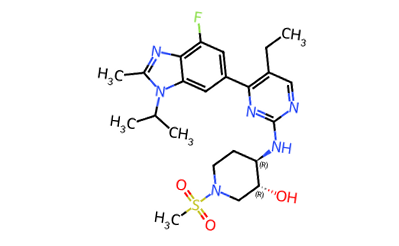 CCc1cnc(N[C@@H]2CCN(S(C)(=O)=O)C[C@H]2O)nc1-c1cc(F)c2nc(C)n(C(C)C)c2c1